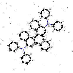 c1ccc(N(c2ccccc2)c2cc3c4ccccc4c4cc(N(c5ccccc5)c5ccccc5)c5ccccc5c4c3c3ccccc23)cc1